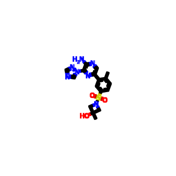 Cc1ccc(S(=O)(=O)N2CC(C)(O)C2)cc1-c1cnc(N)c(-n2cncn2)n1